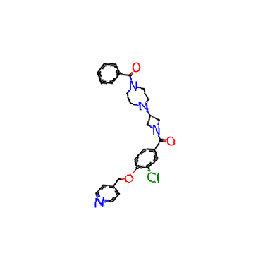 O=C(c1ccccc1)N1CCN(C2CN(C(=O)c3ccc(OCc4ccncc4)c(Cl)c3)C2)CC1